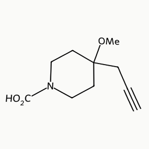 C#CCC1(OC)CCN(C(=O)O)CC1